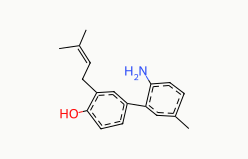 CC(C)=CCc1cc(-c2cc(C)ccc2N)ccc1O